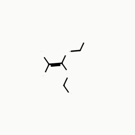 FCOC(OCC(F)(F)F)=C(F)F